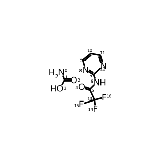 NC(=O)O.O=C(Nc1ncccn1)C(F)(F)F